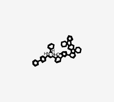 C1=CCCC(C2NC(c3ccc(-c4ccccc4)cc3)=CC(C3=CC=CC4c5cc(C6CC=CC7=C6C6=CC8=C(CC6C76CCCCC6)c6ccccc6C86CCCCC6)ccc5O[C@@H]34)N2)=C1